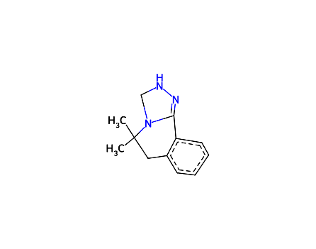 CC1(C)Cc2ccccc2C2=NNCN21